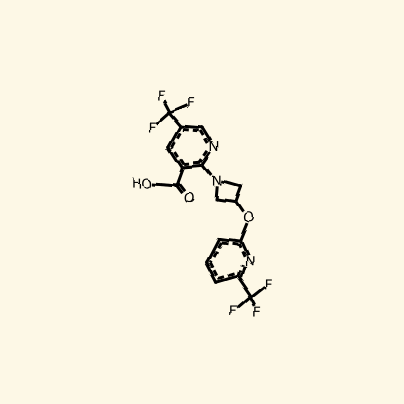 O=C(O)c1cc(C(F)(F)F)cnc1N1CC(Oc2cccc(C(F)(F)F)n2)C1